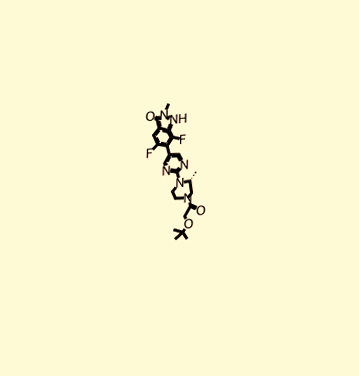 C[C@@H]1CN(C(=O)COC(C)(C)C)CCN1c1ncc(-c2c(F)cc3c(=O)n(C)[nH]c3c2F)cn1